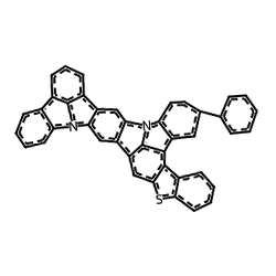 c1ccc(-c2ccc3c(c2)c2c4c(cc5c6cc7c(cc6n3c52)c2cccc3c5ccccc5n7c32)sc2ccccc24)cc1